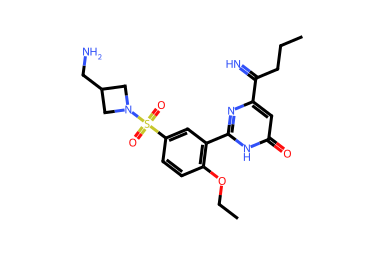 CCCC(=N)c1cc(=O)[nH]c(-c2cc(S(=O)(=O)N3CC(CN)C3)ccc2OCC)n1